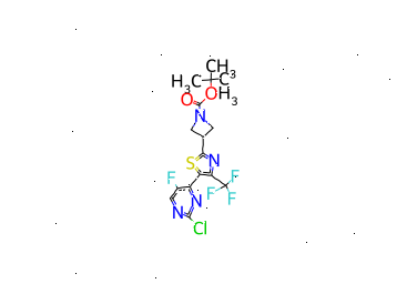 CC(C)(C)OC(=O)N1CC(c2nc(C(F)(F)F)c(-c3nc(Cl)ncc3F)s2)C1